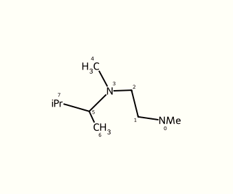 CNCCN(C)C(C)C(C)C